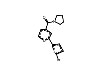 O=C(c1ccnc(-c2ccc(Br)s2)c1)N1CCCC1